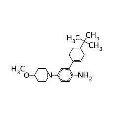 COC1CCN(c2ccc(N)c(C3=CCC(C(C)(C)C)CC3)c2)CC1